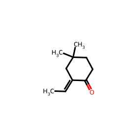 CC=C1CC(C)(C)CCC1=O